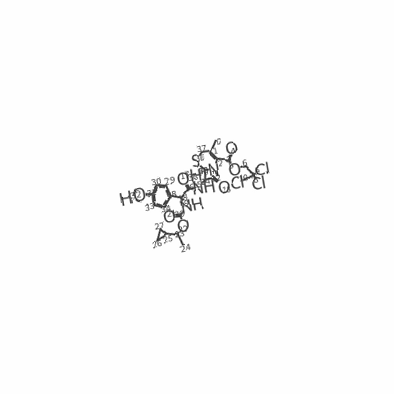 CC1=C(C(=O)OCC(Cl)(Cl)Cl)N2C(=O)C(NC(=O)C(NC(=O)OC(C)C3CC3)c3ccc(O)cc3)[C@H]2SC1